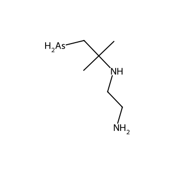 CC(C)(C[AsH2])NCCN